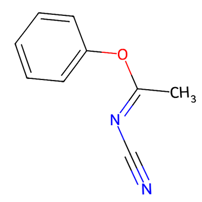 CC(=NC#N)Oc1ccccc1